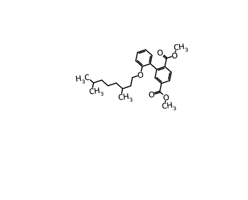 COC(=O)c1ccc(C(=O)OC)c(-c2ccccc2OCCC(C)CCCC(C)C)c1